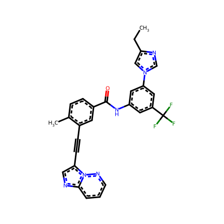 CCc1cn(-c2cc(NC(=O)c3ccc(C)c(C#Cc4cnc5cccnn45)c3)cc(C(F)(F)F)c2)cn1